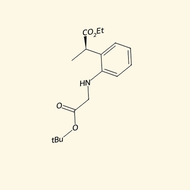 CCOC(=O)[C@H](C)c1ccccc1NCC(=O)OC(C)(C)C